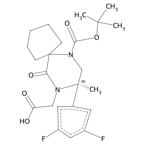 CC(C)(C)OC(=O)N1C[C@@](C)(c2cc(F)cc(F)c2)N(CC(=O)O)C(=O)C12CCCCC2